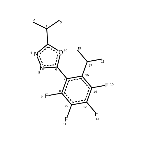 CC(C)c1nnc(-c2c(F)c(F)c(F)c(F)c2C(C)C)o1